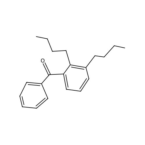 CCCCc1cccc(C(=O)c2ccccc2)c1CCCC